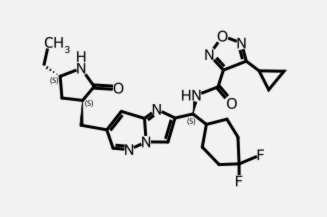 CC[C@H]1C[C@H](Cc2cnn3cc([C@@H](NC(=O)c4nonc4C4CC4)C4CCC(F)(F)CC4)nc3c2)C(=O)N1